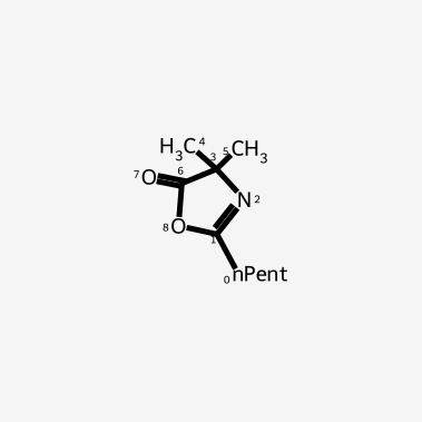 CCCCCC1=NC(C)(C)C(=O)O1